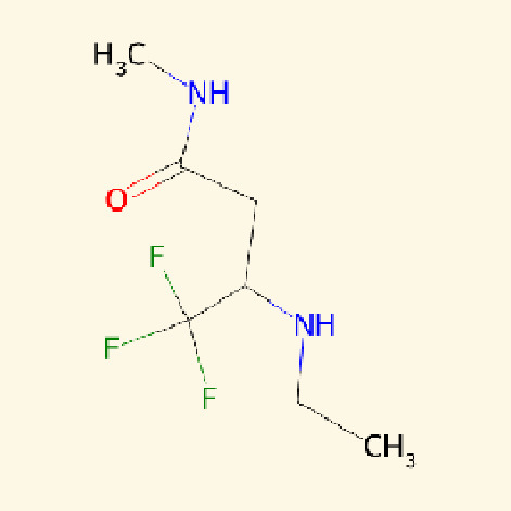 CCNC(CC(=O)NC)C(F)(F)F